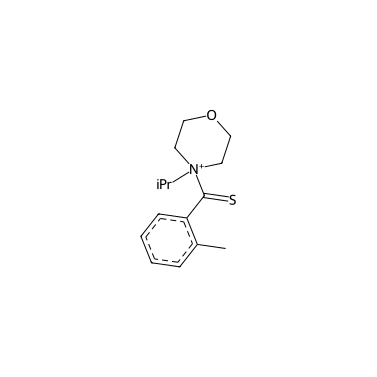 Cc1ccccc1C(=S)[N+]1(C(C)C)CCOCC1